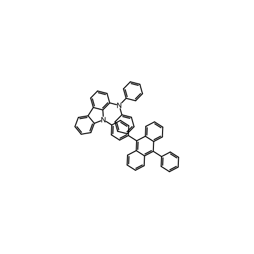 c1ccc(-c2c3ccccc3c(-c3ccc(-n4c5ccccc5c5cccc(N(c6ccccc6)c6ccccc6)c54)cc3)c3ccccc23)cc1